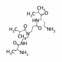 CC(C)C(=O)[C@H](CCN)NC(=O)CCN(CCNC(=O)[C@H](C)N)C(=O)C(C)C